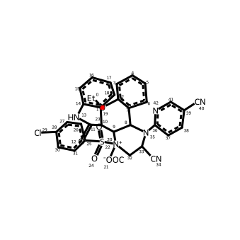 CCOc1ccccc1C1C(C2C(=O)Nc3ccccc32)[N+](C(=O)[O-])(S(=O)(=O)c2ccc(Cl)cc2)CC(C#N)N1c1ccc(C#N)cn1